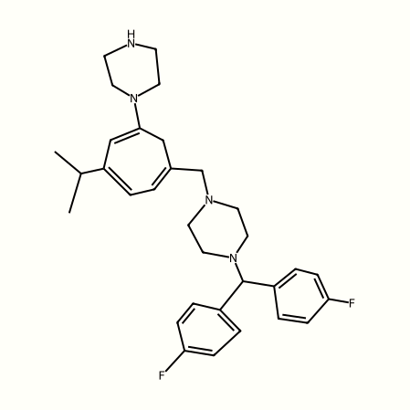 CC(C)C1=CC=C(CN2CCN(C(c3ccc(F)cc3)c3ccc(F)cc3)CC2)CC(N2CCNCC2)=C1